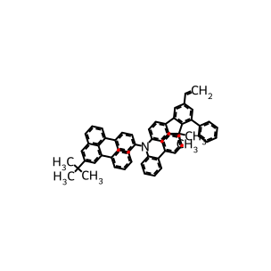 C=Cc1cc(-c2ccccc2)c2c(c1)-c1ccc(N(c3ccc(-c4cccc5cc(C(C)(C)C)cc(-c6ccccc6)c45)cc3)c3ccccc3-c3ccccc3)cc1C2(C)C